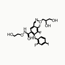 O=C(NOCCO)c1cc(/C=N\OCC(O)CO)c(F)c(F)c1Nc1ccc(I)cc1F